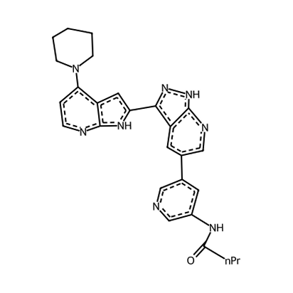 CCCC(=O)Nc1cncc(-c2cnc3[nH]nc(-c4cc5c(N6CCCCC6)ccnc5[nH]4)c3c2)c1